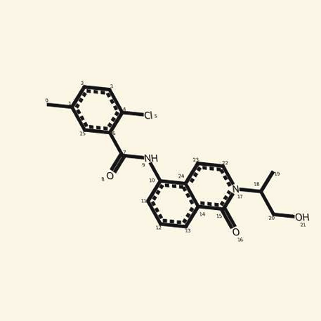 Cc1ccc(Cl)c(C(=O)Nc2cccc3c(=O)n(C(C)CO)ccc23)c1